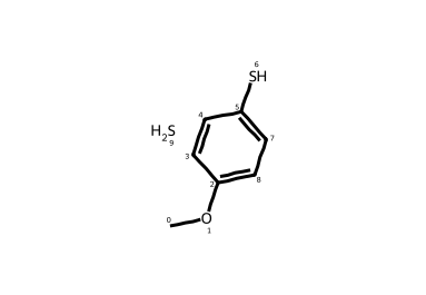 COc1ccc(S)cc1.S